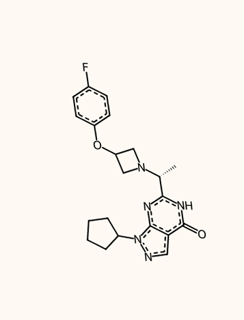 C[C@H](c1nc2c(cnn2C2CCCC2)c(=O)[nH]1)N1CC(Oc2ccc(F)cc2)C1